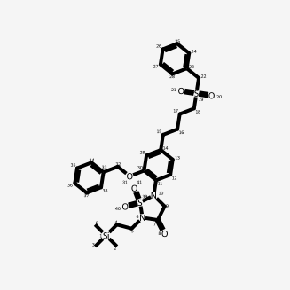 C[Si](C)(C)CCN1C(=O)CN(c2ccc(CCCCS(=O)(=O)Cc3ccccc3)cc2OCc2ccccc2)S1(=O)=O